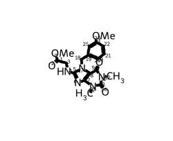 COC(=O)CNc1nc2c(c(=O)n(C)c(=O)n2C)n1Cc1cccc(OC)c1